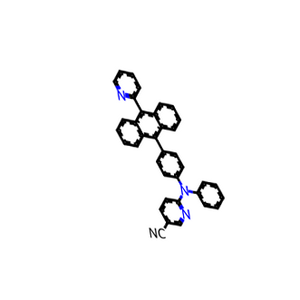 N#Cc1ccc(N(c2ccccc2)c2ccc(-c3c4ccccc4c(-c4ccccn4)c4ccccc34)cc2)nc1